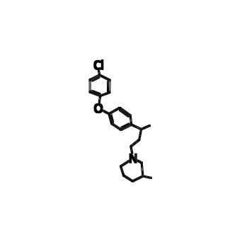 CC1CCCN(CCC(C)c2ccc(Oc3ccc(Cl)cc3)cc2)C1